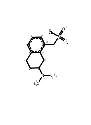 CN(C)C1CCc2cccc(CS(=O)(=O)Cl)c2C1